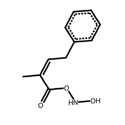 CC(=CCc1ccccc1)C(=O)ONO